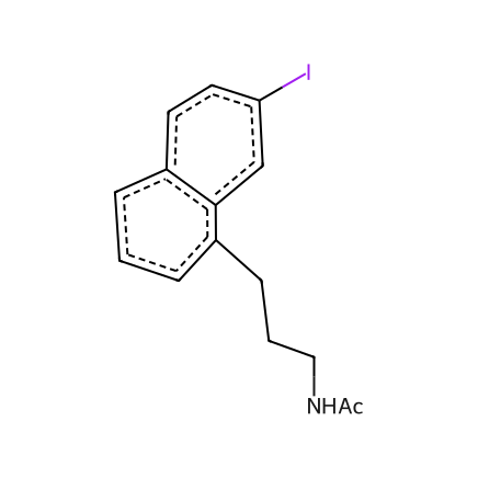 CC(=O)NCCCc1cccc2ccc(I)cc12